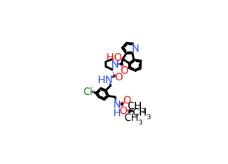 CC(C)(C)OC(=O)NCc1ccc(Cl)cc1CNC(=O)[C@@H]1CCCN1C(=O)C1(O)c2ccccc2-c2ncccc21